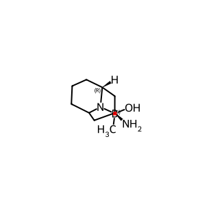 CB(O)N1C2CCC[C@@H]1C[C@@H](N)C2